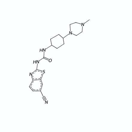 CN1CCN(C2CCC(NC(=O)Nc3nc4ccc(C#N)cc4s3)CC2)CC1